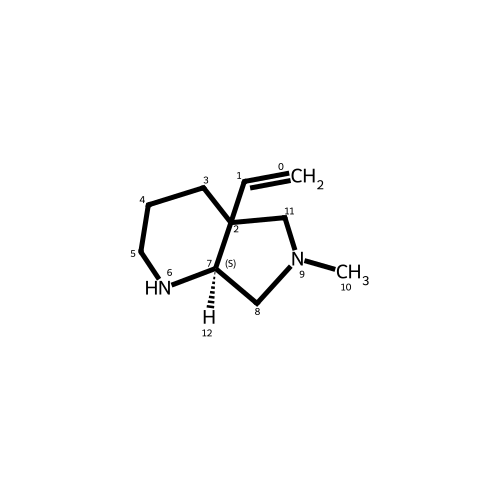 C=CC12CCCN[C@@H]1CN(C)C2